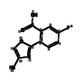 O=C(O)c1cc(F)ccc1-c1nc(S)co1